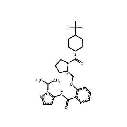 CC(C)n1nccc1NC(=O)c1ncccc1OC[C@H]1CCCN1C(=O)[C@H]1CC[C@H](C(F)(F)F)CC1